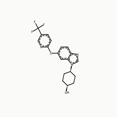 O[C@H]1CC[C@@H](n2cnc3ccc(Oc4ccc(C(F)(F)F)cn4)cc32)CC1